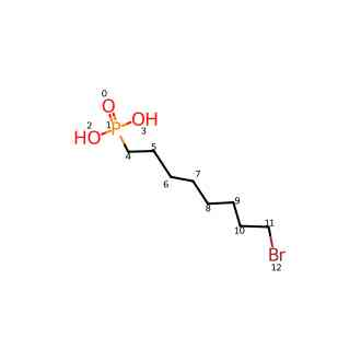 O=P(O)(O)CCCCCCCCBr